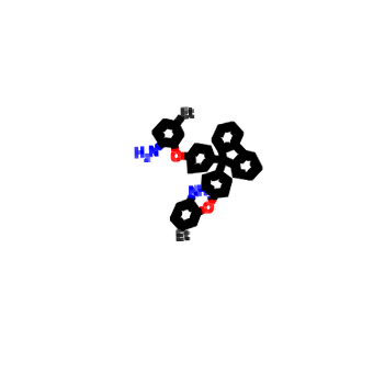 CCc1ccc(N)c(Oc2ccc(C3(c4ccc(Oc5cc(CC)ccc5N)cc4)c4ccccc4-c4ccccc43)cc2)c1